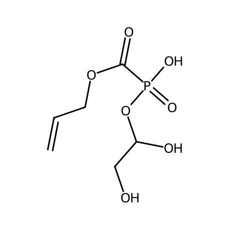 C=CCOC(=O)P(=O)(O)OC(O)CO